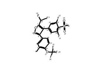 Cc1cc(-c2noc(C(F)F)c2-c2cc(F)c(S(C)(=O)=O)c(F)c2)ccc1OC(F)(F)F